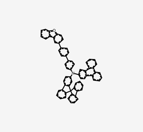 c1ccc2c(c1)-c1ccccc1C21c2ccccc2-c2ccc(N(c3ccc(-c4ccc(-c5ccc6oc7ccccc7c6c5)cc4)cc3)c3ccc4c5ccccc5c5ccccc5c4c3)cc21